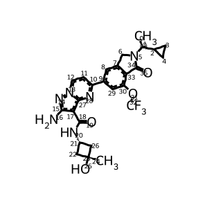 C[C@@H](C1CC1)N1Cc2cc(-c3ccn4nc(N)c(C(=O)N[C@H]5C[C@@](C)(O)C5)c4n3)cc(OC(F)(F)F)c2C1=O